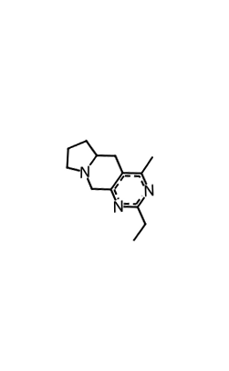 CCc1nc(C)c2c(n1)CN1CCCC1C2